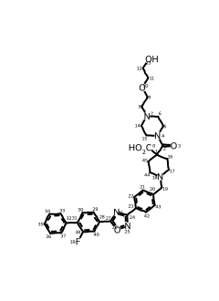 O=C(O)C1(C(=O)N2CCN(CCOCCO)CC2)CCN(Cc2ccc(-c3noc(-c4ccc(-c5ccccc5)c(F)c4)n3)cc2)CC1